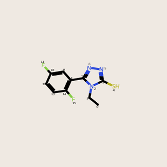 CCn1c(S)nnc1-c1cc(F)ccc1F